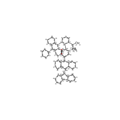 C=C(C)c1cccc(-c2c3ccccc3c(-c3ccccc3)c3ccccc23)c1-c1ccc(-c2c3ccccc3c(-n3c4ccccc4c4ccccc43)c3ccccc23)cc1C